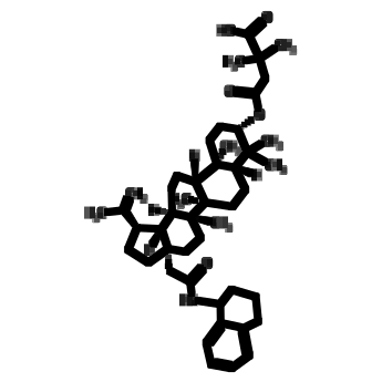 C=C(C)[C@@H]1CC[C@]2(CC(=O)NC3CCCc4ccccc43)CC[C@]3(C)[C@H](CC[C@@H]4[C@@]5(C)CC[C@H](OC(=O)CC(C)(C)C(=O)O)C(C)(C)[C@@H]5CC[C@]43C)[C@@H]12